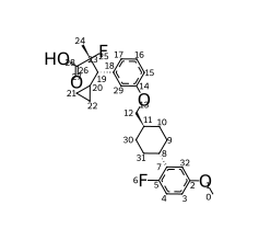 COc1ccc(F)c([C@H]2CC[C@H](COc3cccc([C@H](C4CC4)[C@@](C)(F)C(=O)O)c3)CC2)c1